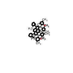 Cc1cc(C)c(B(c2c(C)cc(C)cc2C)c2cc(-c3ccccc3C)c3ccc4c(-c5ccccc5C(F)(F)F)cc(B(c5c(C)cc(C)cc5C)c5c(C)cc(C)cc5C)c5ccc2c3c54)c(C)c1